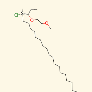 CCCCCCCCCCCCCCCCCC[Si](C)(Cl)C(CC)OCCOC